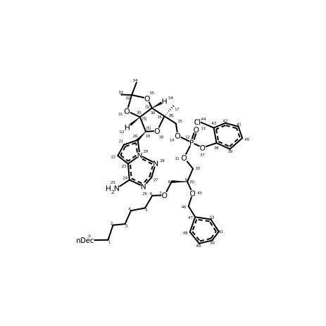 CCCCCCCCCCCCCCCCOC[C@@H](COP(=O)(OC[C@@]1(C)O[C@@H](c2ccc3c(N)ncnn23)[C@@H]2OC(C)(C)O[C@@H]21)Oc1ccccc1Cl)OCc1ccccc1